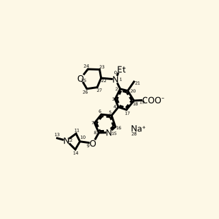 CCN(c1cc(-c2ccc(OC3CN(C)C3)nc2)cc(C(=O)[O-])c1C)C1CCOCC1.[Na+]